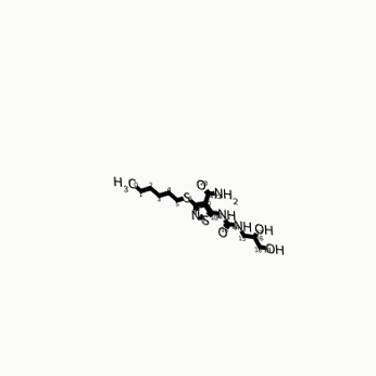 CCCCCCSc1nsc(NC(=O)NCC(O)CO)c1C(N)=O